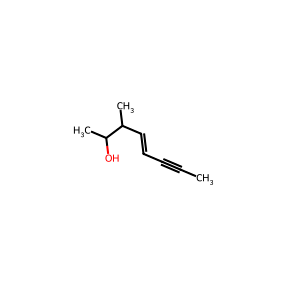 CC#C/C=C/C(C)C(C)O